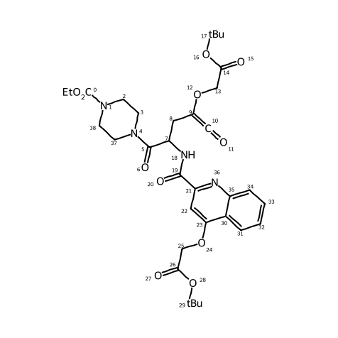 CCOC(=O)N1CCN(C(=O)C(CC(=C=O)OCC(=O)OC(C)(C)C)NC(=O)c2cc(OCC(=O)OC(C)(C)C)c3ccccc3n2)CC1